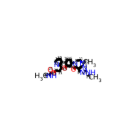 CCNc1ncc2c(n1)N(C)CCN(c1cccc(OC(CCOC(=O)NC)c3ccccn3)c1)C2=O